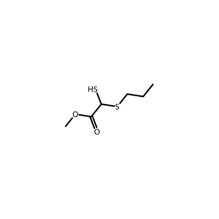 CCCSC(S)C(=O)OC